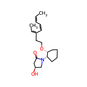 C\C=C/C=C\C(=C/C)CCO[C@@H]1CCCC[C@@H]1N1C[C@@H](O)CC1=O